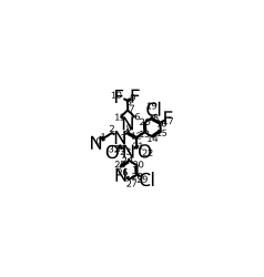 N#CCn1c(N2CC(C(F)F)C2)c(-c2ccc(F)c(Cl)c2)c(=O)n(-c2cncc(Cl)c2)c1=O